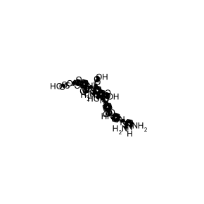 NC1=C(/N=N/c2ccc(NS(=O)(=O)c3ccc(/N=N/c4c(S(=O)(=O)O)cc5cc(SOOO)c(/N=N/c6ccc(S(=O)(=O)CCOSOOO)cc6S(=O)(=O)O)c(N)c5c4O)cc3)cc2)C=CC(N)N1